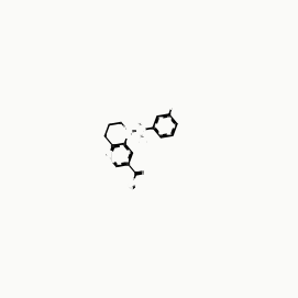 COC(=O)c1cnc2c(c1)N(S(=O)(=O)c1cccc(C)c1)CCC2